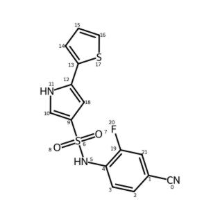 N#Cc1ccc(NS(=O)(=O)c2c[nH]c(-c3cccs3)c2)c(F)c1